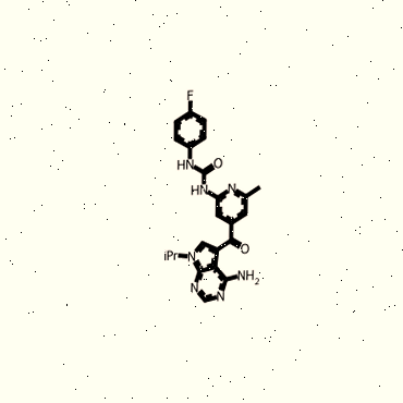 Cc1cc(C(=O)c2cn(C(C)C)c3ncnc(N)c23)cc(NC(=O)Nc2ccc(F)cc2)n1